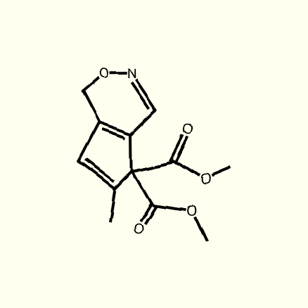 COC(=O)C1(C(=O)OC)C(C)=CC2=C1C=NOC2